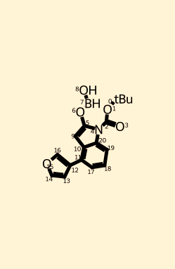 CC(C)(C)OC(=O)n1c(OBO)cc2c(-c3ccoc3)cccc21